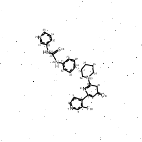 O=C1C=C(c2ccncc2F)N=C(N2CCC[C@@H](c3ccc(NC(=S)Nc4cccnc4)cc3)C2)C1